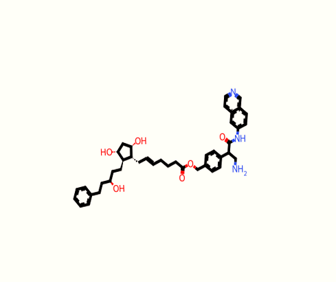 NCC(C(=O)Nc1ccc2cnccc2c1)c1ccc(COC(=O)CCC/C=C/C[C@@H]2[C@@H](CC[C@@H](O)CCc3ccccc3)[C@H](O)C[C@@H]2O)cc1